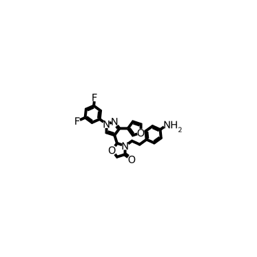 Nc1ccc(CCN2C(=O)COC2c2cn(-c3cc(F)cc(F)c3)nc2-c2ccoc2)cc1